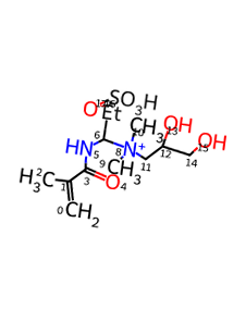 C=C(C)C(=O)NC(CC)[N+](C)(C)CC(O)CO.O=S(=O)([O-])O